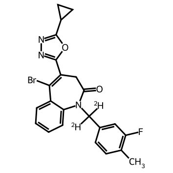 [2H]C([2H])(c1ccc(C)c(F)c1)N1C(=O)CC(c2nnc(C3CC3)o2)=C(Br)c2ccccc21